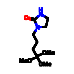 CO[Si](CCCN1CCNC1=O)(OC)OC